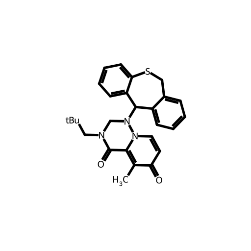 Cc1c2n(ccc1=O)N(C1c3ccccc3CSc3ccccc31)CN(CC(C)(C)C)C2=O